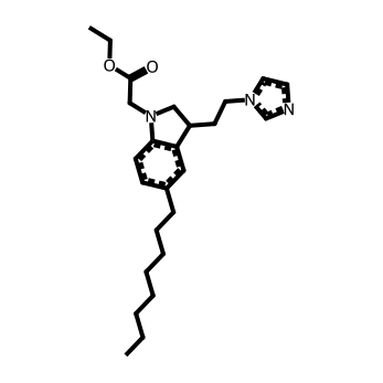 CCCCCCCCc1ccc2c(c1)C(CCn1ccnc1)CN2CC(=O)OCC